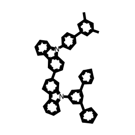 Cc1cc(C)cc(-c2ccc(-n3c4ccccc4c4cc(-c5ccc6c7ccccc7n(-c7cc(-c8ccccc8)cc(-c8ccccc8)c7)c6c5)ccc43)cc2)c1